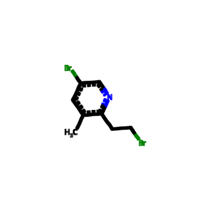 Cc1cc(Br)cnc1CCBr